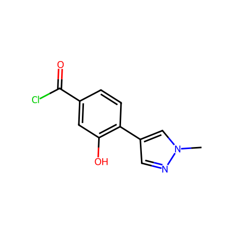 Cn1cc(-c2ccc(C(=O)Cl)cc2O)cn1